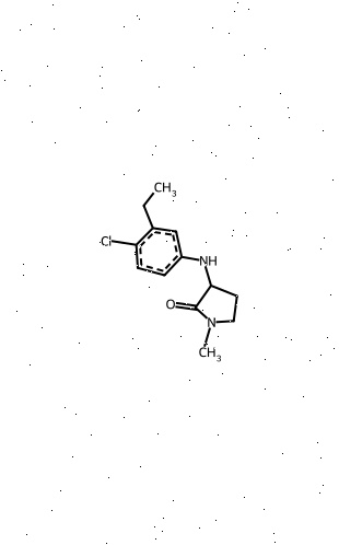 CCc1cc(NC2CCN(C)C2=O)ccc1Cl